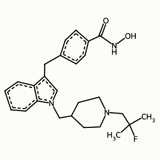 CC(C)(F)CN1CCC(Cn2cc(Cc3ccc(C(=O)NO)cc3)c3ccccc32)CC1